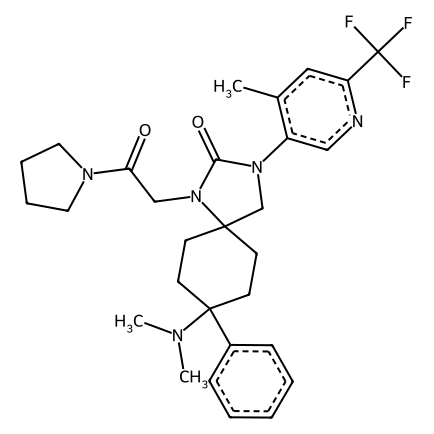 Cc1cc(C(F)(F)F)ncc1N1CC2(CCC(c3ccccc3)(N(C)C)CC2)N(CC(=O)N2CCCC2)C1=O